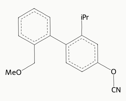 COCc1ccccc1-c1ccc(OC#N)cc1C(C)C